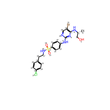 CC[C@H](CO)Nc1nc(Nc2ccc(S(=O)(=O)NCCc3ccc(Cl)cc3)cc2)ncc1Br